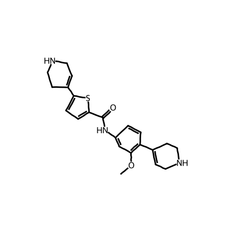 COc1cc(NC(=O)c2ccc(C3=CCNCC3)s2)ccc1C1=CCNCC1